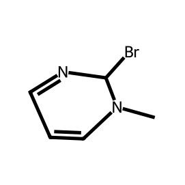 CN1C=CC=NC1Br